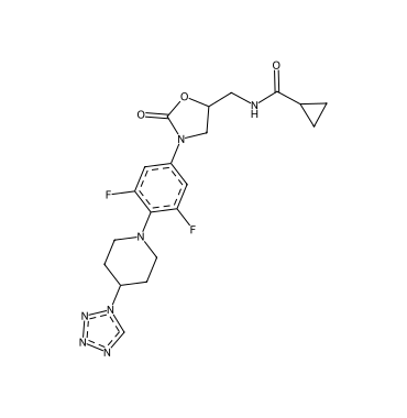 O=C(NCC1CN(c2cc(F)c(N3CCC(n4cnnn4)CC3)c(F)c2)C(=O)O1)C1CC1